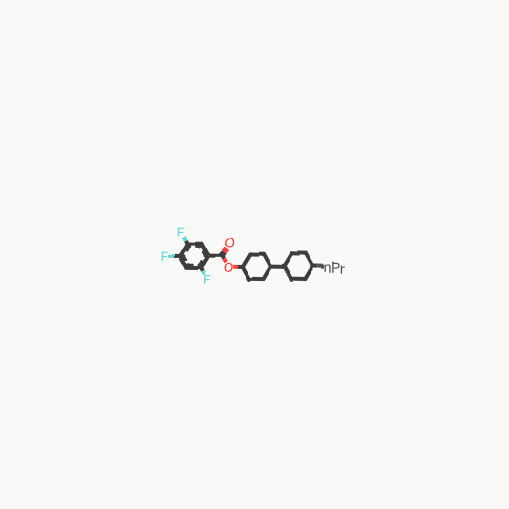 CCCC1CCC(C2CCC(OC(=O)c3cc(F)c(F)cc3F)CC2)CC1